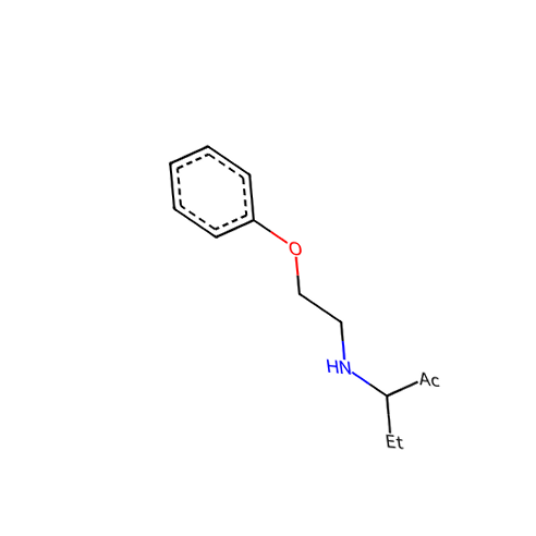 [CH2]CC(NCCOc1ccccc1)C(C)=O